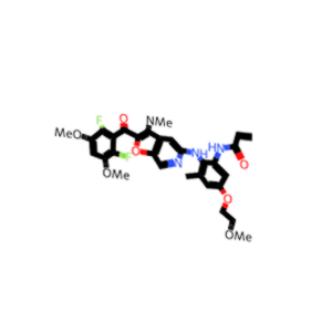 C=CC(=O)Nc1cc(OCCOC)cc(C)c1Nc1cc2c(NC)c(C(=O)c3c(F)c(OC)cc(OC)c3F)oc2cn1